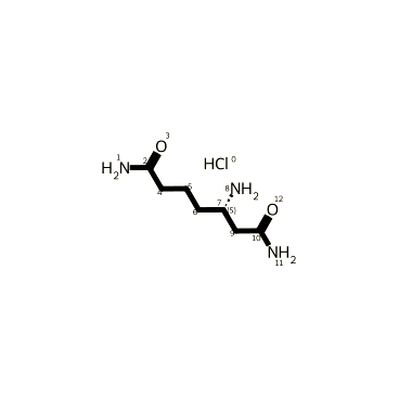 Cl.NC(=O)CCC[C@H](N)CC(N)=O